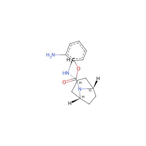 COC(=O)N1[C@@H]2CC[C@H]1C[C@@H](Nc1ccccc1N)C2